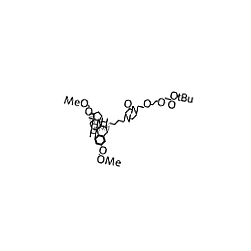 COCOc1ccc2c(c1)C[C@@H](CCCCN1CCN(CCOCCOCC(=O)OC(C)(C)C)C(=O)C1)[C@@H]1[C@@H]2CC[C@]2(C)[C@@H](OCOC)CC[C@@H]12